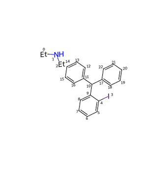 CCNCC.Ic1ccccc1C(c1ccccc1)c1ccccc1